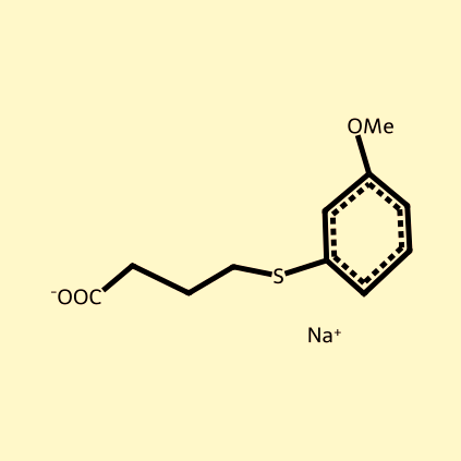 COc1cccc(SCCCC(=O)[O-])c1.[Na+]